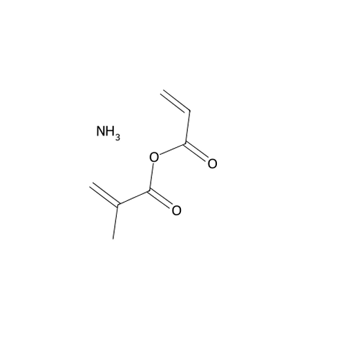 C=CC(=O)OC(=O)C(=C)C.N